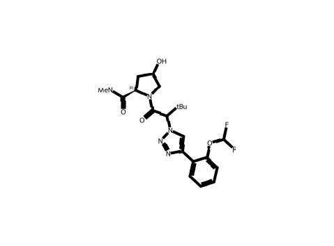 CNC(=O)[C@H]1CC(O)CN1C(=O)C(n1cc(-c2ccccc2OC(F)F)nn1)C(C)(C)C